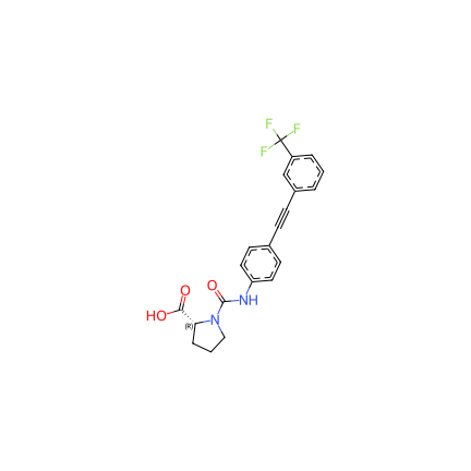 O=C(O)[C@H]1CCCN1C(=O)Nc1ccc(C#Cc2cccc(C(F)(F)F)c2)cc1